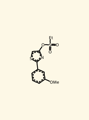 CCS(=O)(=O)Oc1csc(-c2cccc(OC)c2)n1